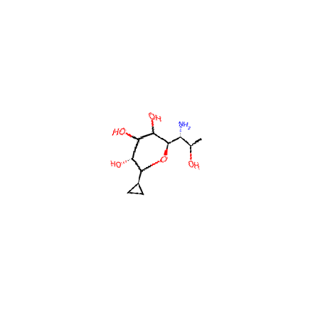 C[C@@H](O)[C@@H](N)[C@H]1OC(C2CC2)[C@H](O)C(O)C1O